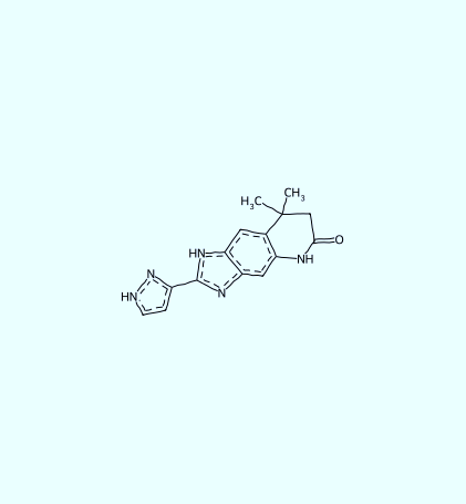 CC1(C)CC(=O)Nc2cc3nc(-c4cc[nH]n4)[nH]c3cc21